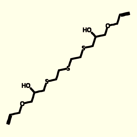 C=CCOCC(O)CSCCSCCSCC(O)COCC=C